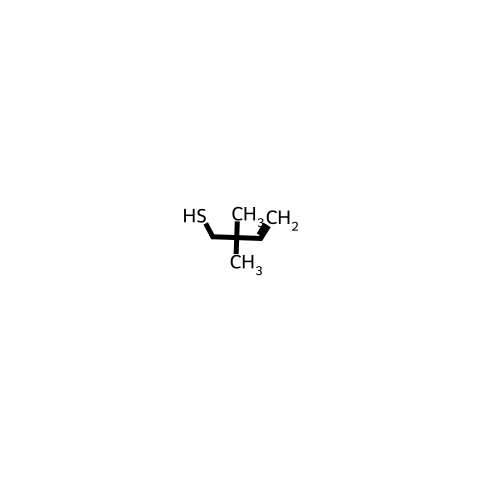 C=CC(C)(C)CS